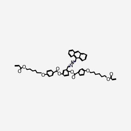 C=CC(=O)OCCCCCCOc1ccc(C(=O)Oc2ccc(OC(=O)c3ccc(OCCCCCCOC(=O)C=C)cc3)c(/C=N/N=C/c3c4ccccc4cc4ccccc34)c2)cc1